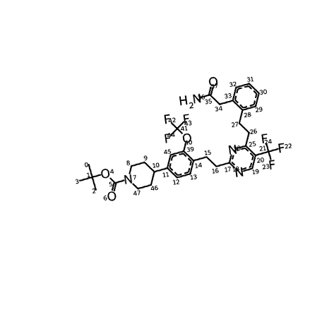 CC(C)(C)OC(=O)N1CCC(c2ccc(CCc3ncc(C(F)(F)F)c(CCc4ccccc4CC(N)=O)n3)c(OC(F)(F)F)c2)CC1